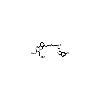 CCN(CCCCCCc1cccc2c1CN(C(CCC=O)C(=O)NC)C2=O)CC[C@@H]1OCc2ccc(Cl)cc21